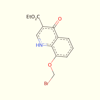 CCOC(=O)c1c[nH]c2c(OCBr)cccc2c1=O